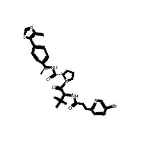 Cc1ncsc1-c1ccc([C@H](C)NC(=O)[C@@H]2CCCN2C(=O)C(NC(=O)CCc2ccc(Br)cn2)C(C)(C)C)cc1